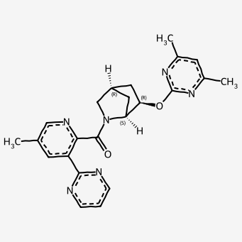 Cc1cnc(C(=O)N2C[C@H]3C[C@@H](Oc4nc(C)cc(C)n4)[C@@H]2C3)c(-c2ncccn2)c1